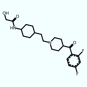 O=C(CO)NC1CCC(CCN2CCC(C(=O)c3ccc(F)cc3F)CC2)CC1